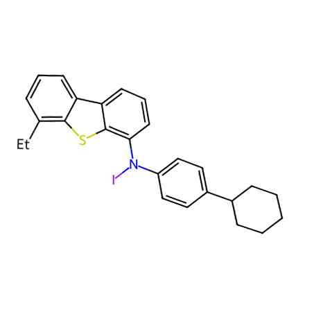 CCc1cccc2c1sc1c(N(I)c3ccc(C4CCCCC4)cc3)cccc12